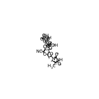 Cc1cn([C@H]2C[C@H](OC(C#N)=CC#N)[C@@H](COP(=O)(O)OP(=O)(O)OP(=O)(O)O)O2)c(=O)[nH]c1=O